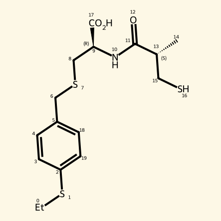 CCSc1ccc(CSC[C@H](NC(=O)[C@H](C)CS)C(=O)O)cc1